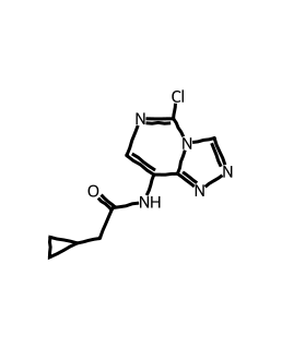 O=C(CC1CC1)Nc1cnc(Cl)n2cnnc12